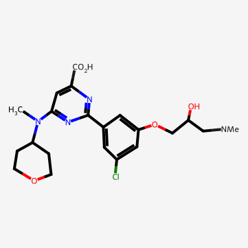 CNCC(O)COc1cc(Cl)cc(-c2nc(C(=O)O)cc(N(C)C3CCOCC3)n2)c1